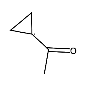 CC(=O)[C]1CC1